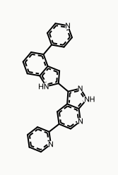 c1ccc(-c2cnc3[nH]nc(-c4cc5c(-c6ccncc6)cccc5[nH]4)c3c2)nc1